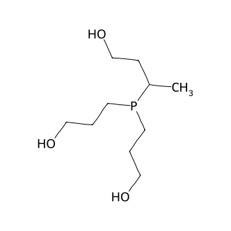 CC(CCO)P(CCCO)CCCO